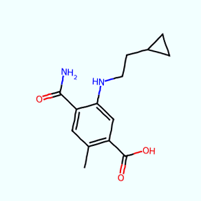 Cc1cc(C(N)=O)c(NCCC2CC2)cc1C(=O)O